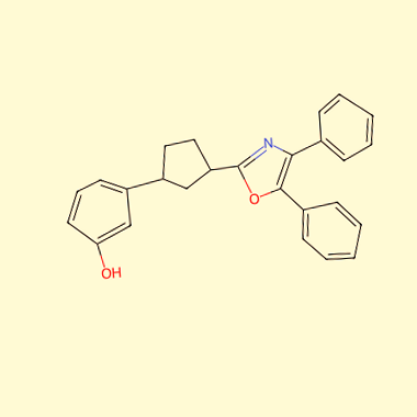 Oc1cccc(C2CCC(c3nc(-c4ccccc4)c(-c4ccccc4)o3)C2)c1